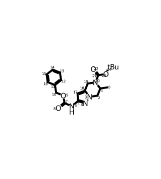 CC1Cn2nc(NC(=O)OCc3ccccc3)cc2CN1C(=O)OC(C)(C)C